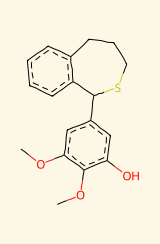 COc1cc(C2SCCCc3ccccc32)cc(O)c1OC